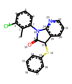 Cc1c(Cl)cccc1N1C(=O)C(Sc2ccccc2)c2cccnc21